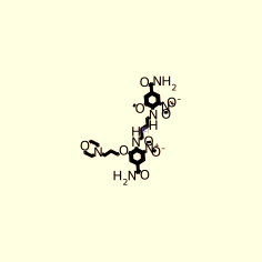 COc1cc(C(N)=O)cc([N+](=O)[O-])c1NC/C=C/CNc1c(OCCCN2CCOCC2)cc(C(N)=O)cc1[N+](=O)[O-]